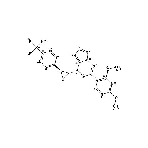 COc1ncc(-c2cc([C@@H]3C[C@H]3c3cnc(C(F)(F)F)nc3)c3nccn3n2)c(OC)n1